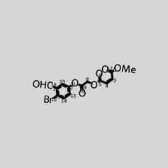 COC(=O)/C=C\C(=O)OCC(=O)Oc1ccc(Br)c(C=O)c1